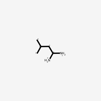 CC(C)CC(N)N